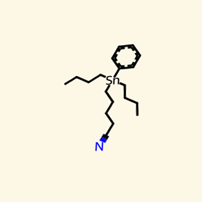 CCC[CH2][Sn]([CH2]CCC)([CH2]CCCC#N)[c]1ccccc1